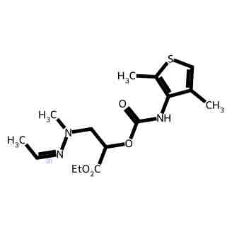 C/C=N\N(C)CC(OC(=O)Nc1c(C)csc1C)C(=O)OCC